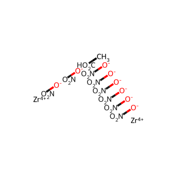 CC(=O)O.O=[N+]([O-])[O-].O=[N+]([O-])[O-].O=[N+]([O-])[O-].O=[N+]([O-])[O-].O=[N+]([O-])[O-].O=[N+]([O-])[O-].O=[N+]([O-])[O-].O=[N+]([O-])[O-].[Zr+4].[Zr+4]